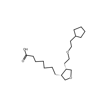 O=C(O)CCCCCC[C@H]1COC[C@H]1CCOCCC1CCCC1